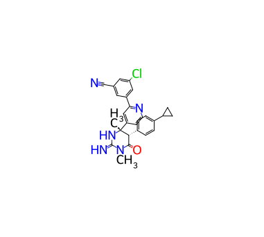 CN1C(=N)N[C@](C)(c2ccnc(-c3cc(Cl)cc(C#N)c3)c2)[C@H](c2ccc(C3CC3)cc2)C1=O